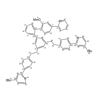 COc1cc(-c2ccccn2)ccc1-c1ccccc1-c1cc(CCc2ccc(-c3cc(C(C)(C)C)ccn3)cc2)cc(CCc2ccc(-c3cc(C(C)(C)C)ccn3)cc2)c1